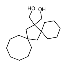 OCC1(CO)CC2(CCCCCCC2)CC12CCCCC2